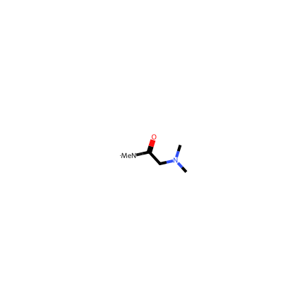 C[N]C(=O)CN(C)C